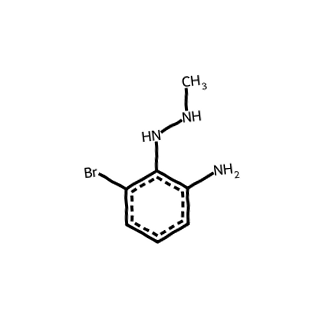 CNNc1c(N)cccc1Br